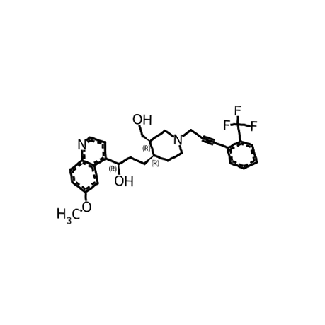 COc1ccc2nccc([C@H](O)CC[C@@H]3CCN(CC#Cc4ccccc4C(F)(F)F)C[C@@H]3CO)c2c1